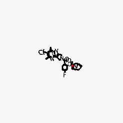 Cc1nc2c3c(nn2c(C)c1Cl)CN(C(=O)c1ccc(F)cc1OC1CC2CCC(C1)N2CCO)C3